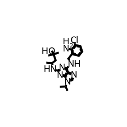 CC(CC(C)(C)O)Nc1nc(NCc2cccc(Cl)c2N)c2ncn(C(C)C)c2n1